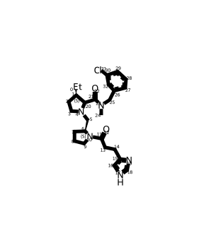 CC[C@H]1CCN(C[C@@H]2CCCN2C(=O)CCc2c[nH]cn2)C1C(=O)N(C)Cc1cccc(Cl)c1